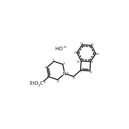 CCOC(=O)C1=CCCN(CC2=Cc3ccccc32)C1.Cl